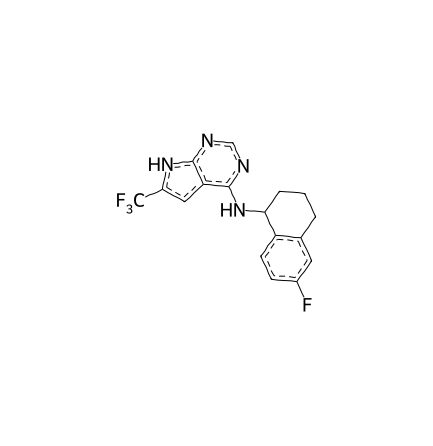 Fc1ccc2c(c1)CCCC2Nc1ncnc2[nH]c(C(F)(F)F)cc12